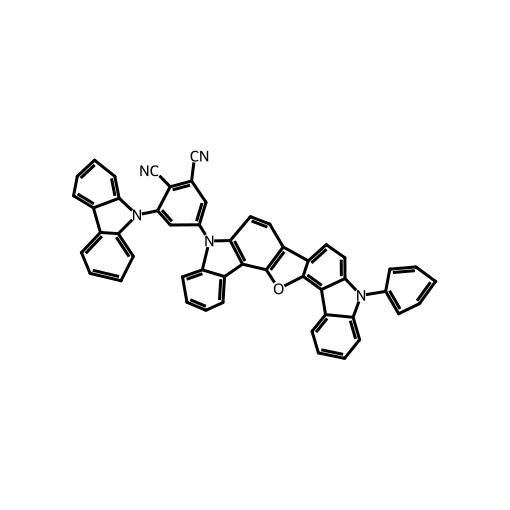 N#Cc1cc(-n2c3ccccc3c3c4oc5c(ccc6c5c5ccccc5n6-c5ccccc5)c4ccc32)cc(-n2c3ccccc3c3ccccc32)c1C#N